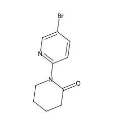 O=C1CCCCN1c1ccc(Br)cn1